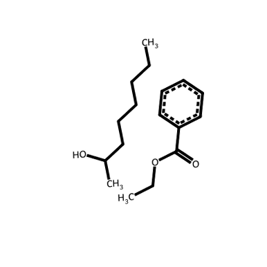 CCCCCCC(C)O.CCOC(=O)c1ccccc1